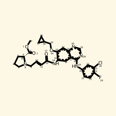 COC(=O)[C@H]1CCCN1CC=CC(=O)Nc1cc2c(Nc3ccc(F)c(Cl)c3)ncnc2cc1OCC1CC1